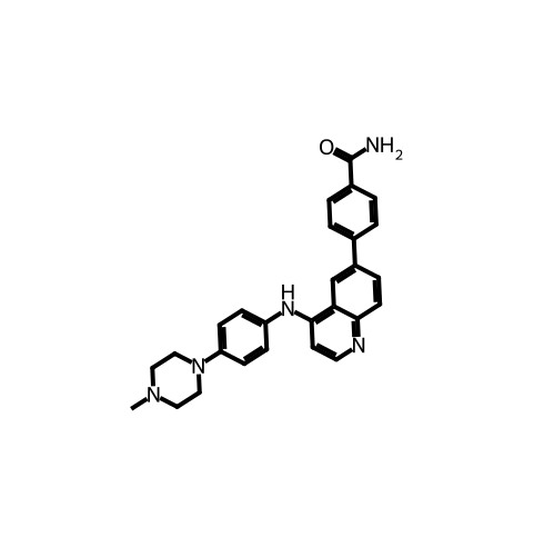 CN1CCN(c2ccc(Nc3ccnc4ccc(-c5ccc(C(N)=O)cc5)cc34)cc2)CC1